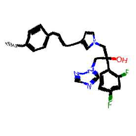 CC(C)(C)c1ccc(/C=C/c2ccn(CC(O)(Cn3cncn3)c3ccc(F)cc3F)c2)cc1